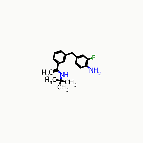 C=C(NC(C)(C)C)c1cccc(Cc2ccc(N)c(F)c2)c1